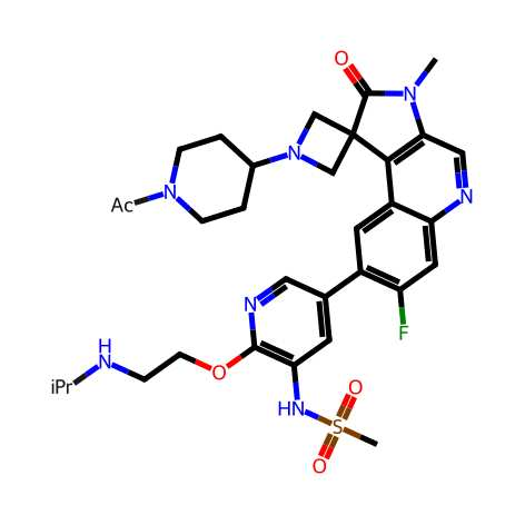 CC(=O)N1CCC(N2CC3(C2)C(=O)N(C)c2cnc4cc(F)c(-c5cnc(OCCNC(C)C)c(NS(C)(=O)=O)c5)cc4c23)CC1